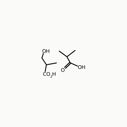 CC(C)C(=O)O.CC(CO)C(=O)O